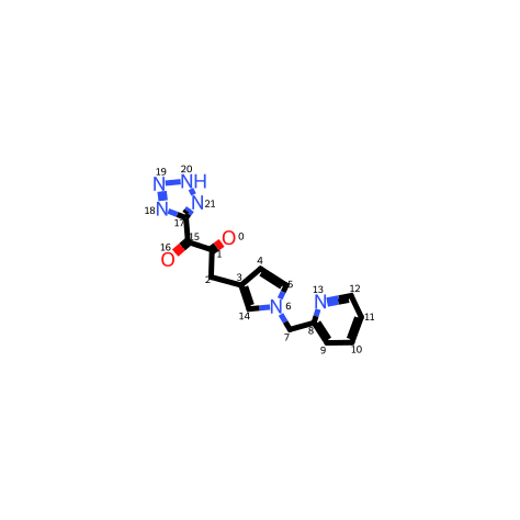 O=C(Cc1ccn(Cc2ccccn2)c1)C(=O)c1nn[nH]n1